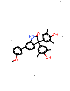 COc1cccc(-c2ccc3c(c2)NC(=O)C3(c2cc(C)c(O)c(C)c2)c2cc(C)c(O)c(C)c2)c1